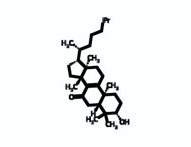 CC(C)CCC[C@@H](C)[C@H]1CC[C@@]2(C)C3=C(CC[C@]12C)[C@@]1(C)CC[C@H](O)C(C)(C)[C@@H]1CC3=O